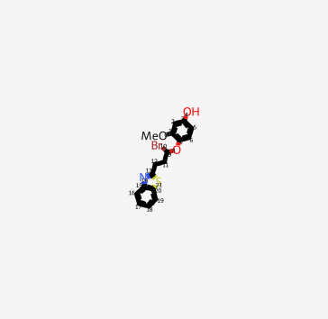 COc1cc(O)ccc1OC(Br)CCc1nc2ccccc2s1